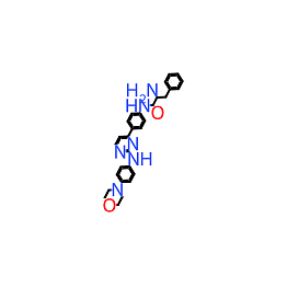 N[C@@H](Cc1ccccc1)C(=O)Nc1ccc(-c2ccnc(Nc3ccc(N4CCOCC4)cc3)n2)cc1